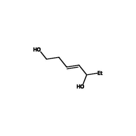 CCC(O)C=CCCO